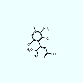 CC(C)C(=CC(=O)O)c1c(Cl)cc(Cl)c(N)c1Cl